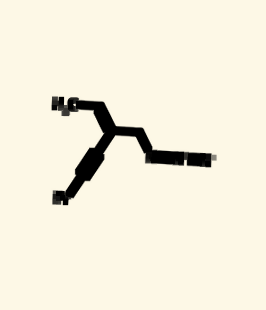 C/C=C(\C#CC(C)C)CN=[N+]=[N-]